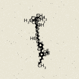 CCCCCc1ccc(-c2cc3ccc(OCC(O)COCCOCC(O)COC(CC(C)(C)C)C(C)(C)C)cc3o2)c(OC(F)(F)F)c1